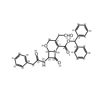 O=CCC1=C(C(=O)OC(c2ccccc2)c2ccccc2)N2C(=O)C(NC(=O)Cc3ccccc3)C2OC1